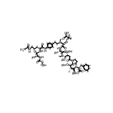 CC[C@H](C)[C@@H]([C@@H](CC(=O)N1CCC[C@H]1[C@H](OC)[C@@H](C)C(=O)N[C@@H](Cc1ccccc1)C(=O)OC)OC)N(C)C(=O)[C@@H](NC(=O)[C@H](C(C)C)N(C)CCc1ccc(NC(=O)[C@H](CCCNC(N)=O)NC(=O)[C@@H](NC(=O)OC(C)(C)C)C(C)C)cc1)C(C)C.O=C(O)C(F)(F)F